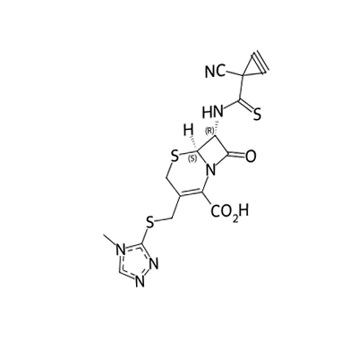 Cn1cnnc1SCC1=C(C(=O)O)N2C(=O)[C@@H](NC(=S)C3(C#N)C#C3)[C@@H]2SC1